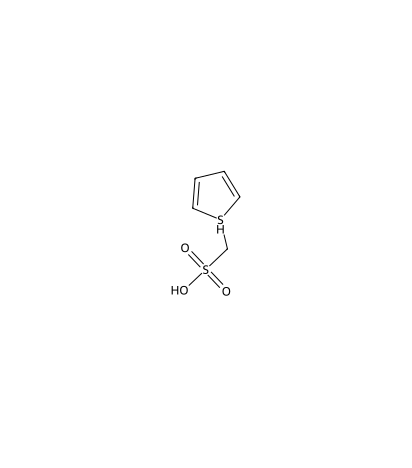 O=S(=O)(O)C[SH]1C=CC=C1